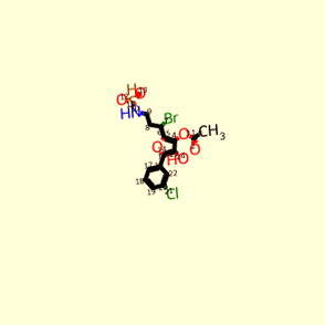 CC(=O)Oc1c(C(Br)CCN[SH](=O)=O)oc(-c2cccc(Cl)c2)c1O